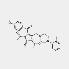 COc1ccc(C(=O)c2c(CN3CCN(c4ccccc4C)CC3)n(C(C)=O)c(=O)n2C(C)=O)cc1